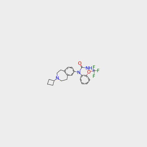 NC(=O)N(c1ccc2c(c1)CCN(C1CCC1)CC2)c1ccccc1OC(F)(F)F